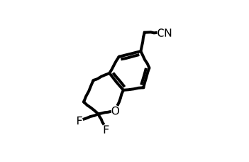 N#CCc1ccc2c(c1)CCC(F)(F)O2